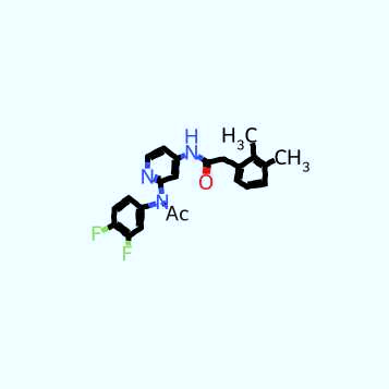 CC(=O)N(c1ccc(F)c(F)c1)c1cc(NC(=O)Cc2cccc(C)c2C)ccn1